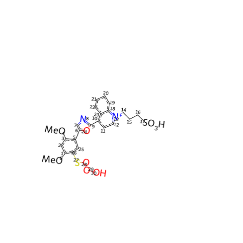 COc1cc(OC)c(-c2cnc(-c3cc[n+](CCCS(=O)(=O)O)c4ccccc34)o2)cc1SOOO